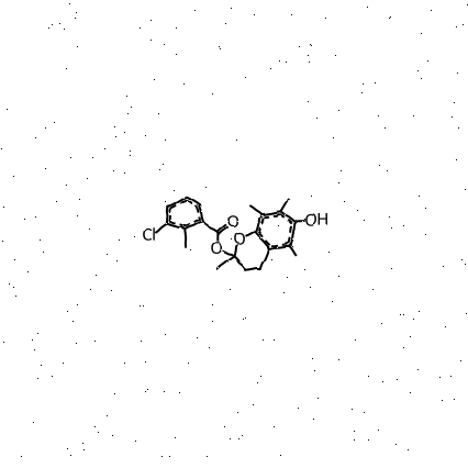 Cc1c(Cl)cccc1C(=O)OC1(C)CCc2c(C)c(O)c(C)c(C)c2O1